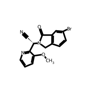 COc1cccnc1[C@H](C#N)N1Cc2ccc(Br)cc2C1=O